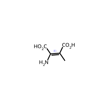 C/C(C(=O)O)=C(\N)C(=O)O